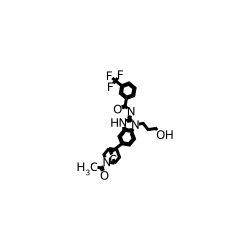 CC(=O)N1CC2CCC1CC2c1ccc2c(c1)[nH]/c(=N\C(=O)c1cccc(C(F)(F)F)c1)n2CCCO